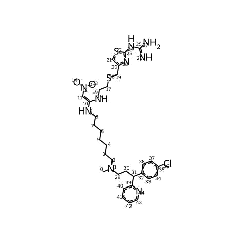 CN(CCCCCCCNC(=C[N+](=O)[O-])NCCSCc1csc(NC(=N)N)n1)CCC(c1ccc(Cl)cc1)c1ccccn1